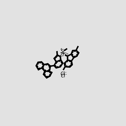 CC1=Cc2c(-c3cc4ccccc4c4ccccc34)cccc2[CH]1[Zr+2]([CH]1c2cc(C)ccc2-c2ccc(C)cc21)=[Si](C)C.[Cl-].[Cl-]